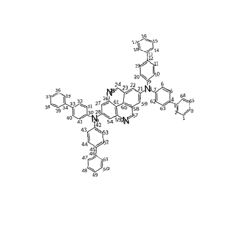 c1ccc(-c2ccc(N(c3ccc(-c4ccccc4)cc3)c3cc4cnc5cc(N(c6ccc(-c7ccccc7)cc6)c6ccc(-c7ccccc7)cc6)cc6ncc(c3)c4c56)cc2)cc1